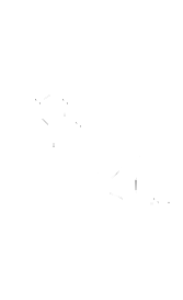 CCCCCCCCCc1ccc(OCCNc2ncnc(C)c2Br)c(C)c1